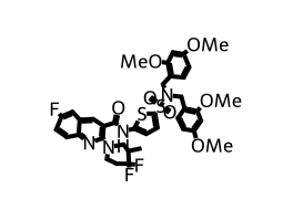 COc1ccc(CN(Cc2ccc(OC)cc2OC)S(=O)(=O)c2ccc(NC(=O)c3cc4cc(F)ccc4nc3N3CCC(F)(F)C(C)C3)s2)c(OC)c1